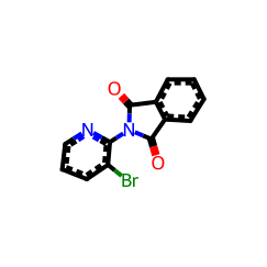 O=C1c2ccccc2C(=O)N1c1ncccc1Br